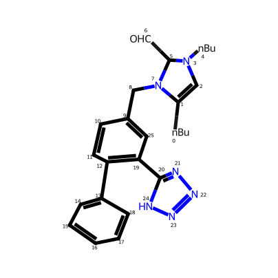 CCCCC1=CN(CCCC)C(C=O)N1Cc1ccc(-c2ccccc2)c(-c2nnn[nH]2)c1